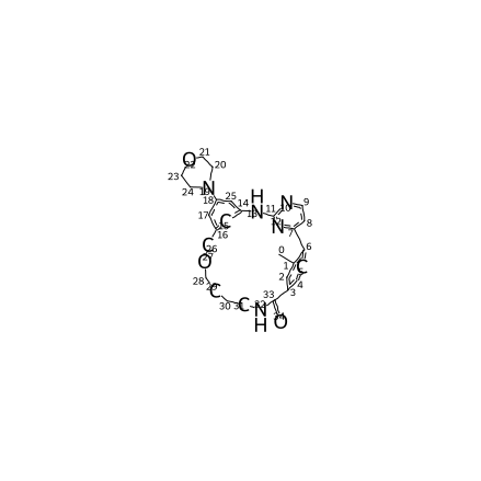 Cc1cc2ccc1-c1ccnc(n1)Nc1cc(cc(N3CCOCC3)c1)COCCCCNC2=O